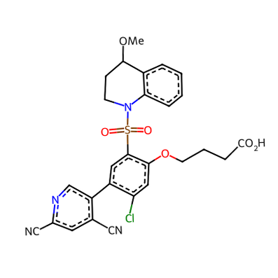 COC1CCN(S(=O)(=O)c2cc(-c3cnc(C#N)cc3C#N)c(Cl)cc2OCCCC(=O)O)c2ccccc21